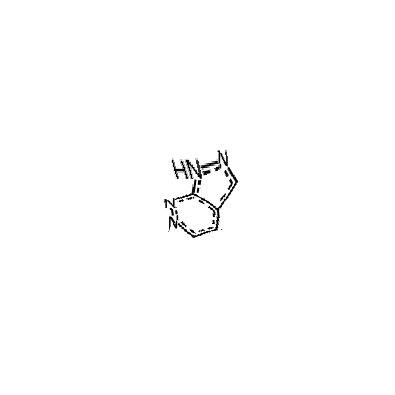 [c]1cnnc2[nH]ncc12